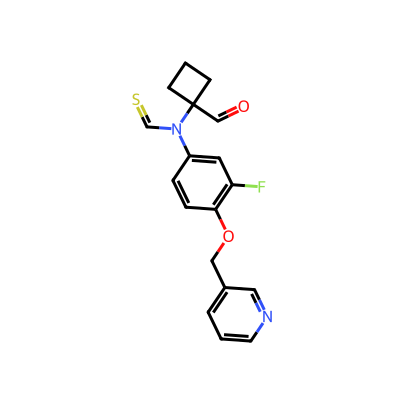 O=CC1(N(C=S)c2ccc(OCc3cccnc3)c(F)c2)CCC1